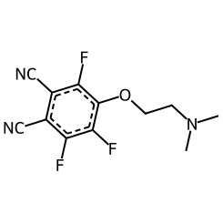 CN(C)CCOc1c(F)c(F)c(C#N)c(C#N)c1F